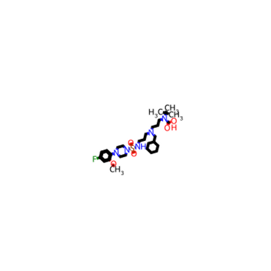 COc1cc(F)ccc1N1CCN(S(=O)(=O)NCCCN(CCCN(C(=O)O)C(C)(C)C)CC2CCCCC2)CC1